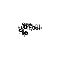 COc1cc(N2CCN(CC(C)(C)O)CC2)ccc1Nc1ncc(F)c(-c2cnc3ccccn23)n1